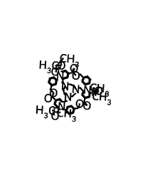 CCOP(C)(=O)c1cc(C(=O)OCc2ccccc2)cc(CN2CCN(Cc3cc(C(=O)OCc4ccccc4)cc(P(C)(C)=O)n3)CCN(Cc3cc(C(=O)OCc4ccccc4)cc(P(C)(C)=O)n3)CC2)n1